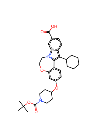 CC(C)(C)OC(=O)N1CCC(Oc2ccc3c(c2)OCCn2c-3c(C3CCCCC3)c3ccc(C(=O)O)cc32)CC1